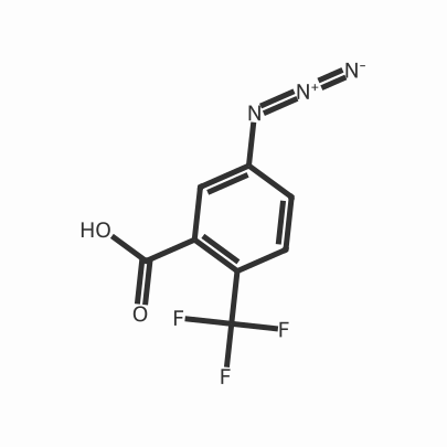 [N-]=[N+]=Nc1ccc(C(F)(F)F)c(C(=O)O)c1